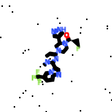 C=N/C(=N\C(=C/C)N1CCN(C(=O)[C@@H]2C[C@@H]2F)C(c2cn[nH]c2)C1)c1cnc2ccc(C(F)(F)F)cn12